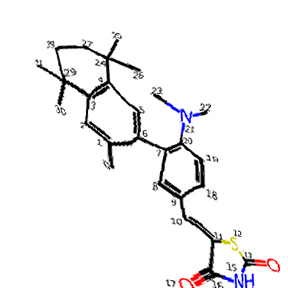 Cc1cc2c(cc1-c1cc(/C=C3\SC(=O)NC3=O)ccc1N(C)C)C(C)(C)CCC2(C)C